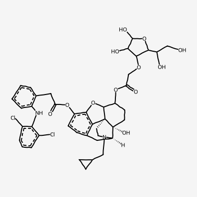 O=C(Cc1ccccc1Nc1c(Cl)cccc1Cl)Oc1ccc2c3c1OC1C(OC(=O)COC4C(O)C(O)OC4C(O)CO)CC[C@@]4(O)[C@@H](C2)N(CC2CC2)CC[C@]314